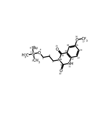 CC(C)(C)[Si](C)(C)OCCCn1c(=O)[nH]c2ccc(OC(F)(F)F)cc2c1=O